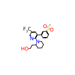 CS(=O)(=O)c1cccc(-c2cc(C(F)(F)F)cnc2N2CCCCC2CCO)c1